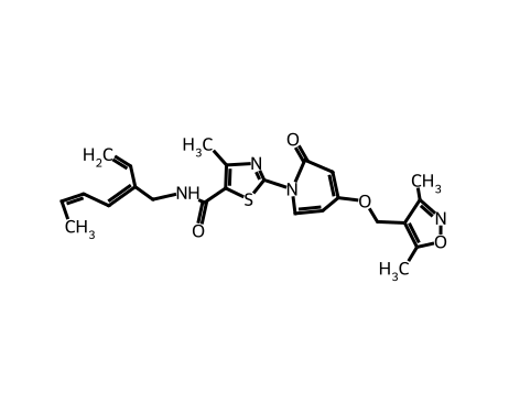 C=C/C(=C\C=C/C)CNC(=O)c1sc(-n2ccc(OCc3c(C)noc3C)cc2=O)nc1C